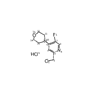 Cl.Fc1cnc(CCl)cc1N1CCOCC1